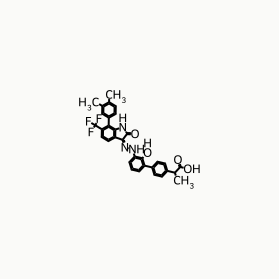 Cc1ccc(-c2c(C(F)(F)F)ccc3c2NC(=O)C3=NNc2cccc(-c3ccc(C(C)C(=O)O)cc3)c2O)cc1C